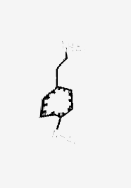 CC(=O)NCCc1ccc(NC(C)=O)cc1